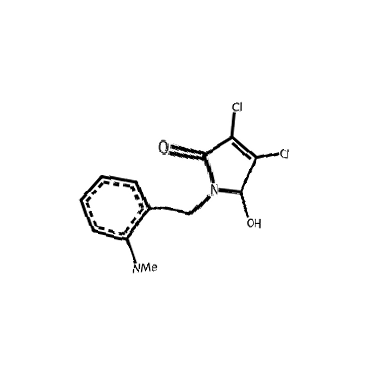 CNc1ccccc1CN1C(=O)C(Cl)=C(Cl)C1O